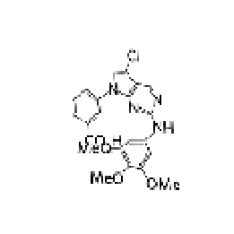 COc1cc(Nc2ncc3c(Cl)cn(-c4cccc(C(=O)O)c4)c3n2)cc(OC)c1OC